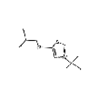 CC(C)COc1c[n+](C(C)(C)C)cs1